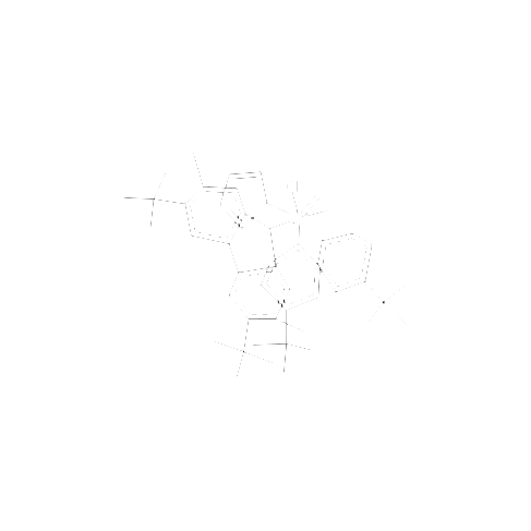 [CH2]=[Zr]([Cl])([Cl])([c]1ccc(C(C)(C)C)cc1)([c]1ccc(C(C)(C)C)cc1)([CH]1C=CC=C1)[CH]1c2cc(C)c(C(C)(C)C)cc2-c2cc(C(C)(C)C)c(C)cc21